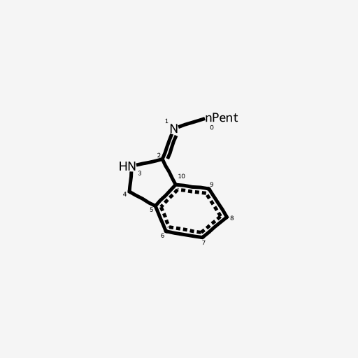 CCCCC/N=C1/NCc2ccccc21